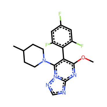 COc1nc2ncnn2c(N2CCC(C)CC2)c1-c1c(F)cc(F)cc1F